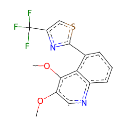 COc1[c]nc2cccc(-c3nc(C(F)(F)F)cs3)c2c1OC